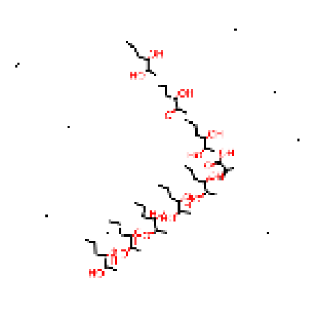 C=C(C)C(=O)O.CCCC(O)C(C)O.CCCC(O)C(C)O.CCCC(O)C(C)O.CCCC(O)C(C)O.CCCC(O)C(C)O.CCCC(O)C(C)O.CCCC(O)C(C)O.CCCC(O)C(C)O